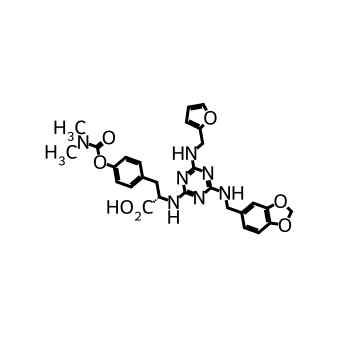 CN(C)C(=O)Oc1ccc(C[C@H](Nc2nc(NCc3ccc4c(c3)OCO4)nc(NCc3ccco3)n2)C(=O)O)cc1